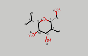 CC(C)[C@@H]1O[C@H](CO)[C@@H](C)[C@H](O)[C@H]1O